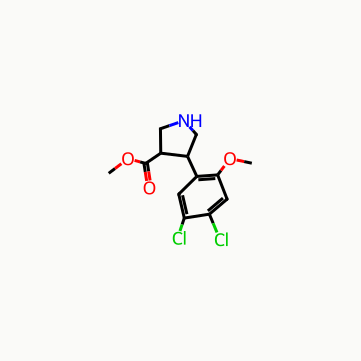 COC(=O)C1CNCC1c1cc(Cl)c(Cl)cc1OC